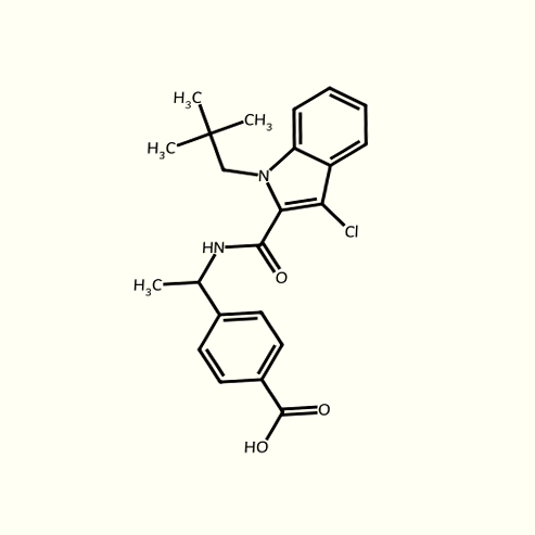 CC(NC(=O)c1c(Cl)c2ccccc2n1CC(C)(C)C)c1ccc(C(=O)O)cc1